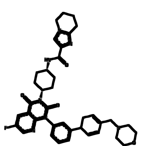 O=C(N[C@H]1CC[C@@H](n2c(=O)c3cc(F)cnc3n(-c3cccc(C4C=CC(CN5CCOCC5)=CC4)c3)c2=O)CC1)c1cn2c(n1)CCCC2